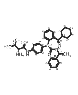 CC(C)[C@H](N)C(=O)Nc1ccc(N2C(=O)N(C(C)c3ccccc3)N=C(C3CCCCC3)c3ccccc32)cc1